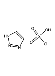 O=S(=O)(O)Cl.c1c[nH]nn1